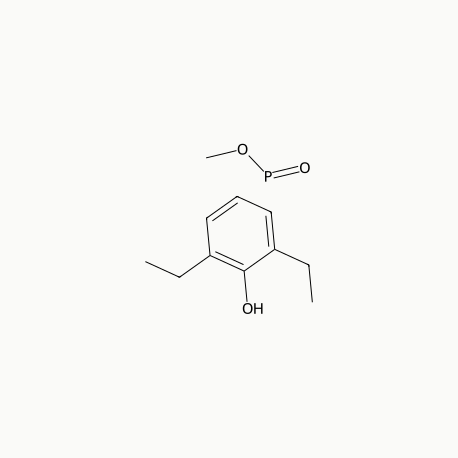 CCc1cccc(CC)c1O.COP=O